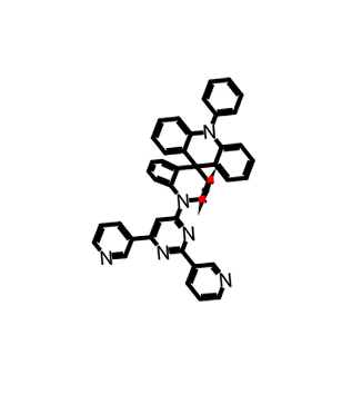 c1ccc(N2c3ccccc3C3(c4ccccc42)c2ccccc2N(c2cc(-c4cccnc4)nc(-c4cccnc4)n2)c2ccccc23)cc1